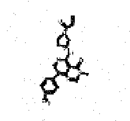 C=CC(=O)N1CC[C@H](Nc2ncc(-c3ccc(C(F)(F)F)cc3)c3ncn(C)c(=O)c23)C1